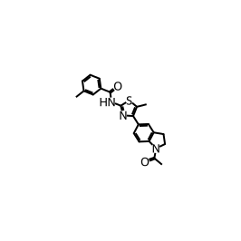 CC(=O)N1CCc2cc(-c3nc(NC(=O)c4cccc(C)c4)sc3C)ccc21